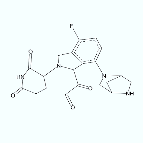 O=CC(=O)C1c2c(N3CC4CC3CN4)ccc(F)c2CN1C1CCC(=O)NC1=O